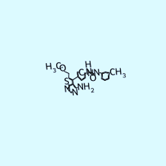 COCCc1sc2ncnc(N)c2c1-c1ccc(NC(=O)Nc2cccc(C)c2)cc1